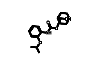 CC(C)Oc1ccccc1NC(=O)OC1CN2CCC1CC2